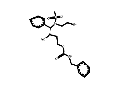 CC(C)CCN([C@@H](c1ccccc1)C(O)CCOC(=O)NCc1ccccc1)S(C)(=O)=O